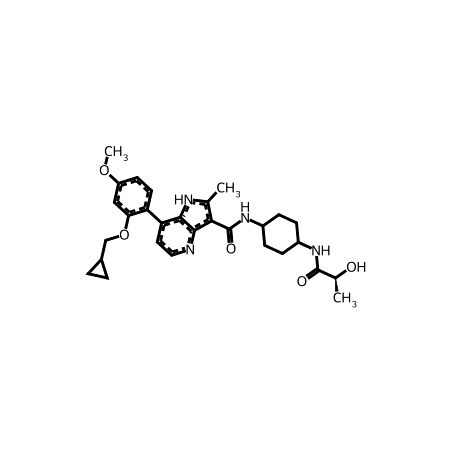 COc1ccc(-c2ccnc3c(C(=O)NC4CCC(NC(=O)[C@H](C)O)CC4)c(C)[nH]c23)c(OCC2CC2)c1